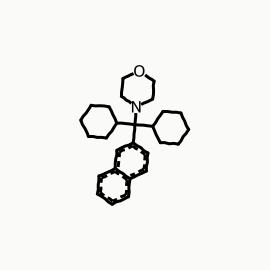 c1ccc2cc(C(C3CCCCC3)(C3CCCCC3)N3CCOCC3)ccc2c1